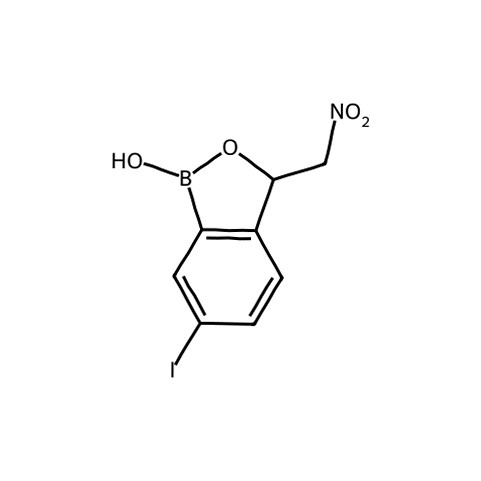 O=[N+]([O-])CC1OB(O)c2cc(I)ccc21